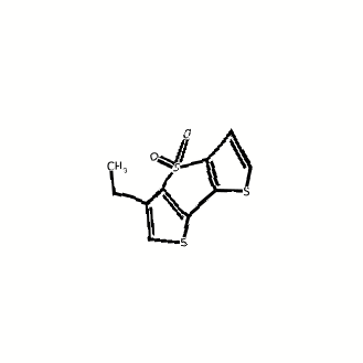 CCc1csc2c1S(=O)(=O)c1ccsc1-2